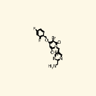 Cc1cc(OCc2ccc(F)cc2F)c(Br)c(=O)n1Cc1cnc(CN)nc1